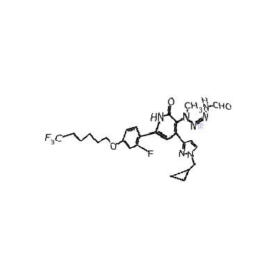 CN(/N=N\NC=O)c1c(-c2ccn(CC3CC3)n2)cc(-c2ccc(OCCCCCC(F)(F)F)cc2F)[nH]c1=O